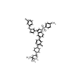 Cc1ccc(S(=O)(=O)n2cc(-c3cnn(Cc4cccc(F)c4)c3)c3cc(-c4cnc(N5CCN(C(=O)OC(C)(C)C)CC5)c(F)c4)cnc32)cc1